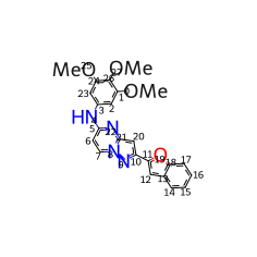 COc1cc(Nc2ccn3nc(-c4cc5ccccc5o4)cc3n2)cc(OC)c1OC